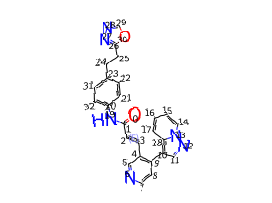 O=C(/C=C/c1cnccc1-c1cnn2ccccc12)Nc1ccc(CCc2nnco2)cc1